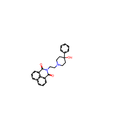 O=C1c2cccc3cccc(c23)C(=O)N1CCN1CCC(O)(c2ccccc2)CC1